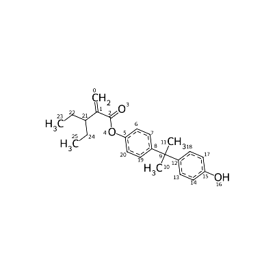 C=C(C(=O)Oc1ccc(C(C)(C)c2ccc(O)cc2)cc1)C(CC)CC